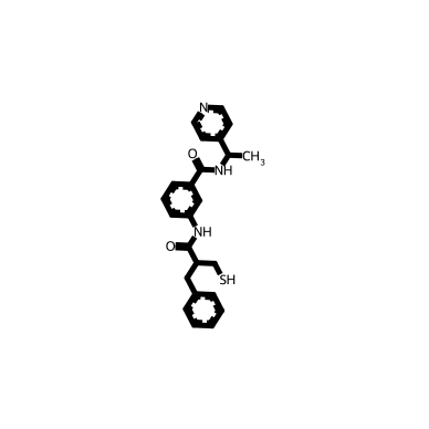 CC(NC(=O)c1cccc(NC(=O)C(CS)Cc2ccccc2)c1)c1ccncc1